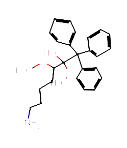 COC(CCCCN)C(O)(OC)C(c1ccccc1)(c1ccccc1)c1ccccc1